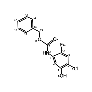 O=C(Nc1cc(O)c(Cl)cc1F)OCc1ccccc1